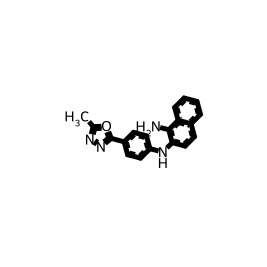 Cc1nnc(-c2ccc(Nc3ccc4ccccc4c3N)cc2)o1